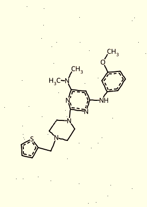 COc1cccc(Nc2cc(N(C)C)nc(N3CCN(Cc4cccs4)CC3)n2)c1